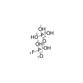 O=P(O)(O)F.O=P(O)(O)O